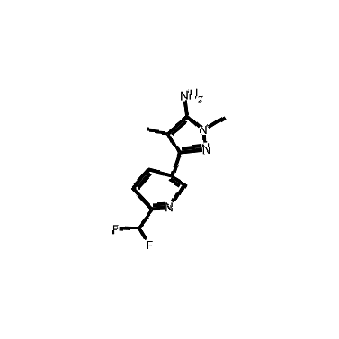 Cc1c(-c2ccc(C(F)F)nc2)nn(C)c1N